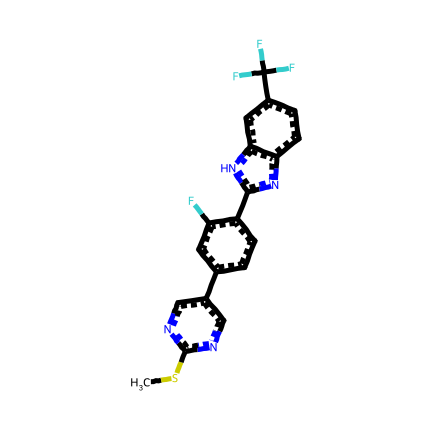 CSc1ncc(-c2ccc(-c3nc4ccc(C(F)(F)F)cc4[nH]3)c(F)c2)cn1